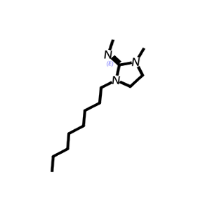 CCCCCCCCN1CCN(C)/C1=N\C